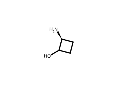 N[C@H]1CCC1O